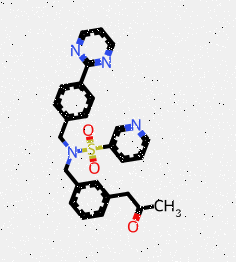 CC(=O)Cc1cccc(CN(Cc2ccc(-c3ncccn3)cc2)S(=O)(=O)c2cccnc2)c1